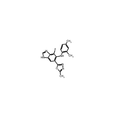 Cc1ccc(Nc2c(-c3nnc(C)o3)cc3[nH]cnc3c2F)c(C)c1